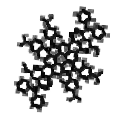 CSCCC(C(=O)N(c1ccccc1)c1ccccc1)N1C(=O)c2cc(Oc3ccc(C(C)C)cc3C)c3c4c(Oc5ccc(C(C)C)cc5C)cc5c6c(cc(Oc7ccc(C(C)C)cc7C)c(c7c(Oc8ccc(C(C)C)cc8C)cc(c2c37)C1=O)c64)C(=O)N(C(CCSC)C(=O)N(c1ccccc1)c1ccccc1)C5=O